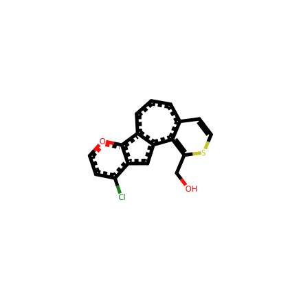 OCC1=c2c(cccc3c2cc2c(Cl)ccoc23)C=CS1